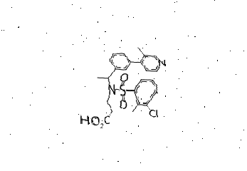 Cc1cnccc1-c1cccc(C(C)N(CCC(=O)O)S(=O)(=O)c2cccc(Cl)c2C)c1